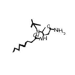 CCCCCCCC(=O)N[C@H](CC(N)=O)C(C)NC(C)(C)C